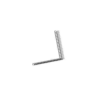 [Ca+2].[Ca+2].[Ca+2].[Ca+2].[Ca+2].[Ca+2].[Ca+2].[Ca+2].[Ca+2].[Ca+2].[Ca+2].[Ca+2].[Ca+2].[Ca+2].[Ca+2].[Ca+2].[Ca+2].[Ca+2].[Ca+2].[Ca+2].[Ca+2].[Ca+2].[Ca+2].[Ca+2].[Ca+2].[Ca+2].[Ca+2].[Ca+2].[Ca+2].[Ca+2].[Ca+2].[Ca+2].[Ca+2].[Ca+2].[Ca+2].[Ca+2].[Ca+2].[Ca+2].[Ca+2]